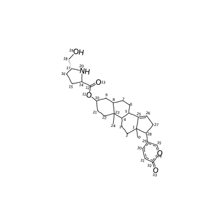 CC12CCC3C(CCC4CC(OC(=O)C5CC[C@H](CO)N5)CCC43C)C1=CCC2c1ccc(=O)oc1